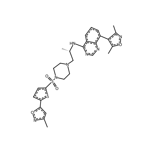 Cc1cc(-c2ccc(S(=O)(=O)N3CCN(C[C@H](C)Nc4ncnc5c(-c6c(C)noc6C)cccc45)CC3)s2)on1